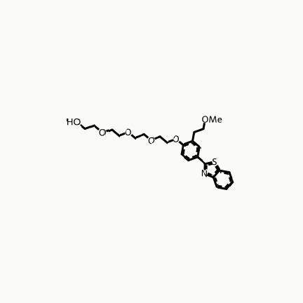 COCCc1cc(-c2nc3ccccc3s2)ccc1OCCOCCOCCOCCO